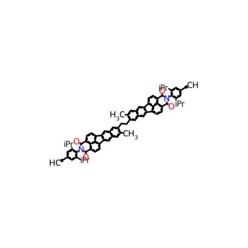 C#Cc1cc(C(C)C)c(N2C(=O)c3ccc4c5c(ccc(c35)C2=O)-c2cc3cc(CCc5cc6cc7c(cc6cc5C)-c5ccc6c8c(ccc-7c58)C(=O)N(c5c(C(C)C)cc(C#C)cc5C(C)C)C6=O)c(C)cc3cc2-4)c(C(C)C)c1